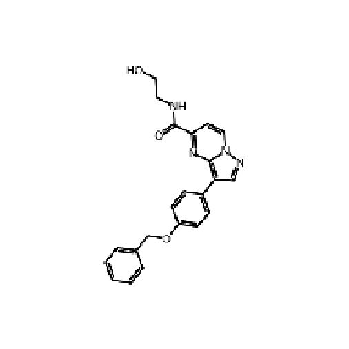 O=C(NCCO)c1ccn2ncc(-c3ccc(OCc4ccccc4)cc3)c2n1